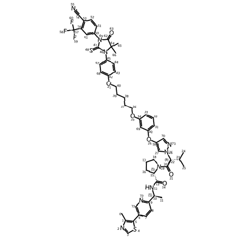 Cc1ncsc1-c1ccc([C@H](C)NC(=O)[C@@H]2CCCN2C(=O)[C@@H](C(C)C)n2cc(Oc3cccc(OCCCCCOc4ccc(N5C(=S)N(c6ccc(C#N)c(C(F)(F)F)c6)C(=O)C5(C)C)cc4)c3)cn2)nc1